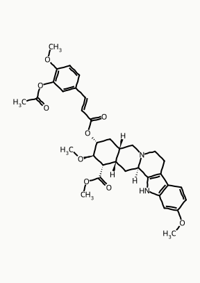 COC(=O)[C@H]1[C@H]2C[C@@H]3c4[nH]c5cc(OC)ccc5c4CCN3C[C@H]2C[C@@H](OC(=O)/C=C/c2ccc(OC)c(OC(C)=O)c2)[C@@H]1OC